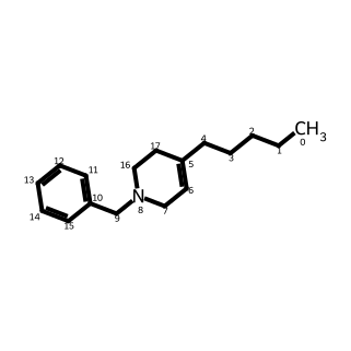 CCCCCC1=CCN(Cc2ccccc2)CC1